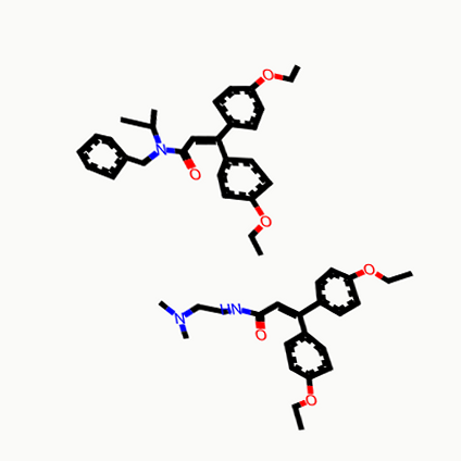 CCOc1ccc(C(=CC(=O)N(Cc2ccccc2)C(C)C)c2ccc(OCC)cc2)cc1.CCOc1ccc(C(=CC(=O)NCCN(C)C)c2ccc(OCC)cc2)cc1